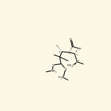 C[SiH2]OC(O[SiH2]C)C(C)(C)[C@H](C)[C@@H]1C(=O)N[C@@H]1[C@@H](C)C(=O)O